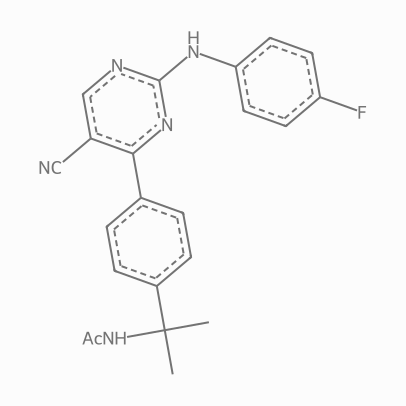 CC(=O)NC(C)(C)c1ccc(-c2nc(Nc3ccc(F)cc3)ncc2C#N)cc1